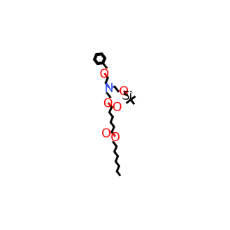 CCCCCCCCOC(=O)CCCCC(=O)OCCN(CCOCc1ccccc1)CCO[Si](C)(C)C(C)(C)C